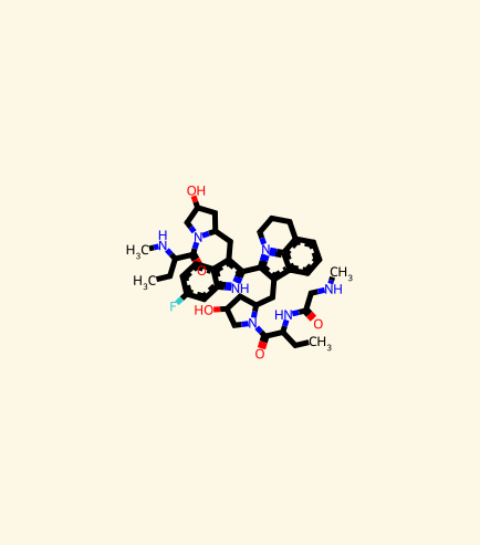 CCC(NC)C(=O)N1CC(O)CC1Cc1c(-c2c(CC3CC(O)CN3C(=O)C(CC)NC(=O)CNC)c3cccc4c3n2CCC4)[nH]c2cc(F)ccc12